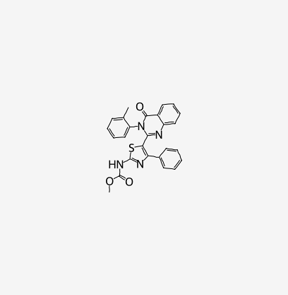 COC(=O)Nc1nc(-c2ccccc2)c(-c2nc3ccccc3c(=O)n2-c2ccccc2C)s1